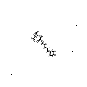 CC(C)[C@H]1OC(=O)C1NC(=O)OCCCCCc1ccccc1